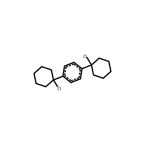 ClC1(c2ccc(C3(Cl)CCCCC3)cc2)CCCCC1